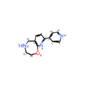 c1cc(-c2ccc3c(n2)OCCNC3)ccn1